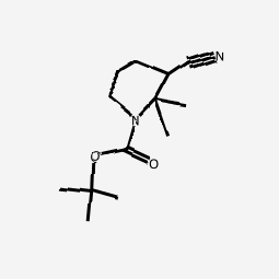 CC(C)(C)OC(=O)N1CCCC(C#N)C1(C)C